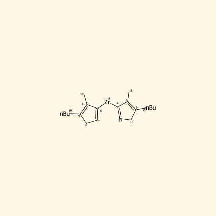 CCCCC1=C(C)[C]([Zr][C]2=CCC(CCCC)=C2C)=CC1